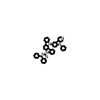 c1ccc(-c2nc(-n3c4ccccc4c4c3ccc3c5ccccc5n(-c5ccc6c(c5)c5ccncc5n6-c5ccccc5)c34)nc3ccccc23)cc1